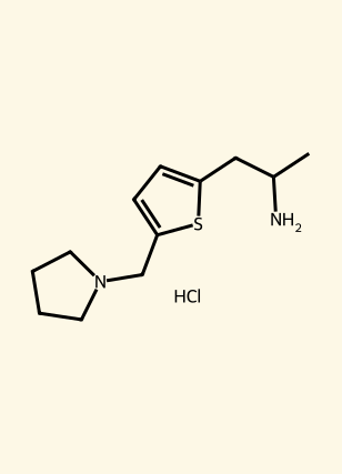 CC(N)Cc1ccc(CN2CCCC2)s1.Cl